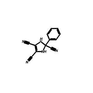 N#CC1=C(C#N)NC(C#N)(c2ccccc2)N1